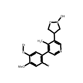 CCOc1cc(-c2cncc(C3COB(O)C3)c2C)c(F)cc1OC